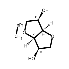 CCCC.O[C@@H]1CO[C@H]2[C@@H]1OC[C@H]2O